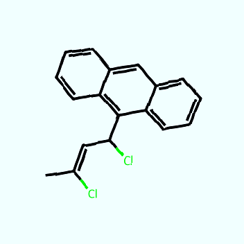 CC(Cl)=CC(Cl)c1c2ccccc2cc2ccccc12